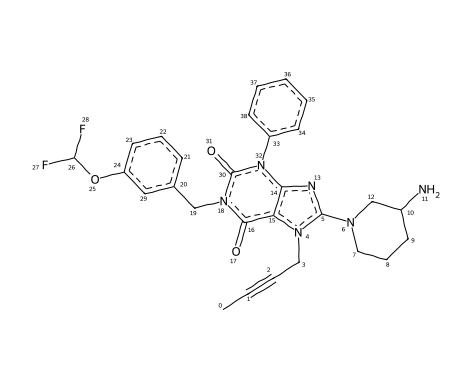 CC#CCn1c(N2CCCC(N)C2)nc2c1c(=O)n(Cc1cccc(OC(F)F)c1)c(=O)n2-c1ccccc1